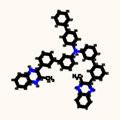 Cc1nc2ccccc2nc1-c1cccc(-c2cccc(N(c3ccc(-c4ccccc4)cc3)c3cccc(-c4cccc(-c5nc6ccccc6nc5C)c4)c3)c2)c1